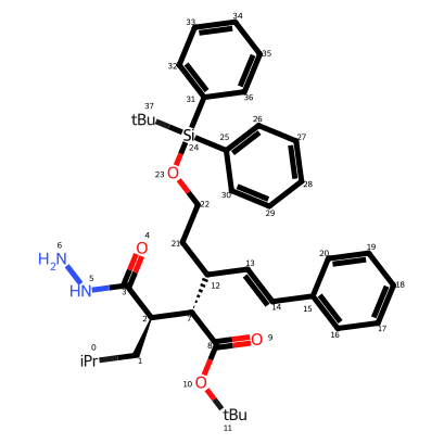 CC(C)C[C@@H](C(=O)NN)[C@@H](C(=O)OC(C)(C)C)C(/C=C/c1ccccc1)CCO[Si](c1ccccc1)(c1ccccc1)C(C)(C)C